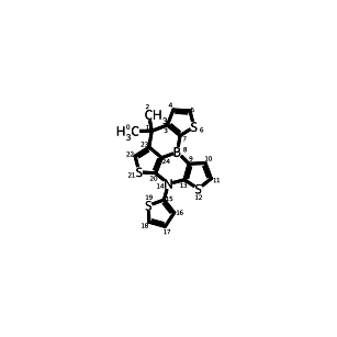 CC1(C)c2ccsc2B2c3ccsc3N(c3cccs3)c3scc1c32